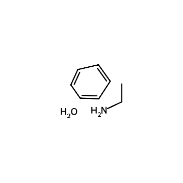 CCN.O.c1ccccc1